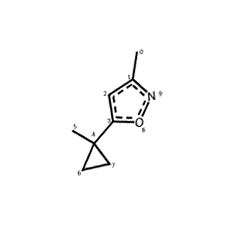 Cc1cc(C2(C)CC2)on1